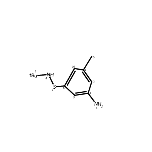 Cc1cc(N)cc(SNC(C)(C)C)c1